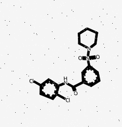 O=C(Nc1cc(Cl)ccc1Cl)c1cccc(S(=O)(=O)N2CCCCC2)c1